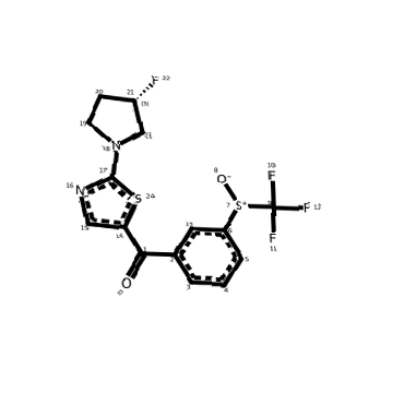 O=C(c1cccc([S+]([O-])C(F)(F)F)c1)c1cnc(N2CC[C@H](F)C2)s1